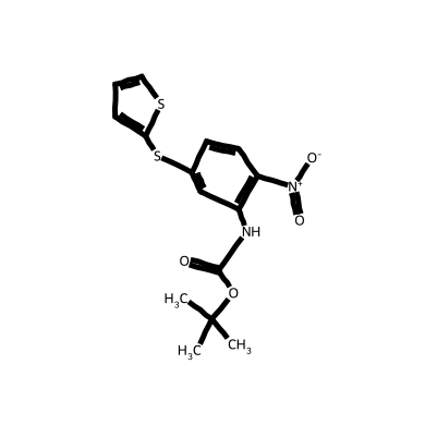 CC(C)(C)OC(=O)Nc1cc(Sc2cccs2)ccc1[N+](=O)[O-]